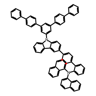 c1ccc(-c2ccc(-c3cc(-c4ccc(-c5ccccc5)cc4)cc(-n4c5ccccc5c5cc(-c6ccc(-c7ccccc7N(c7cccc8ccccc78)c7cccc8ccccc78)cc6)ccc54)c3)cc2)cc1